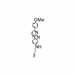 COc1ccc(-c2ccn3c(n2)nc2cc(NCCCF)ccc23)cc1